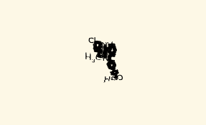 COc1ccc(Cl)cc1Nc1nnc(-c2ccc(-c3ccc(C(=O)O)cc3)cc2)c2ccccc12